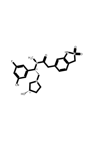 CN(C(=O)Cc1ccc2c(c1)NS(=O)(=O)C2)[C@H](CN1CC[C@H](O)C1)c1cc(F)cc(C#N)c1